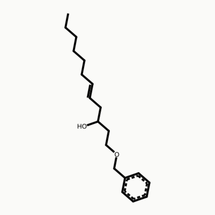 CCCCCCC=CCC(O)CCOCc1ccccc1